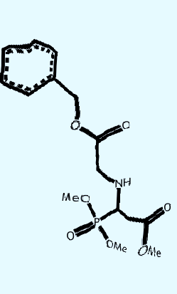 COC(=O)C(NCC(=O)OCc1ccccc1)P(=O)(OC)OC